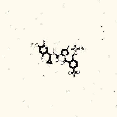 C[C@@H]1C[C@H](C(=O)N[C@@H](c2cc(F)c(C(F)(F)F)cc2F)C2CC2)N(C(=O)c2cc(S(C)(=O)=O)ccc2CO[Si](C)(C)C(C)(C)C)C1